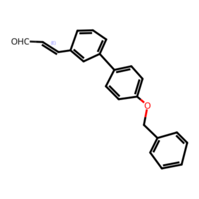 O=C/C=C/c1cccc(-c2ccc(OCc3ccccc3)cc2)c1